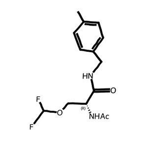 CC(=O)N[C@H](COC(F)F)C(=O)NCc1ccc(C)cc1